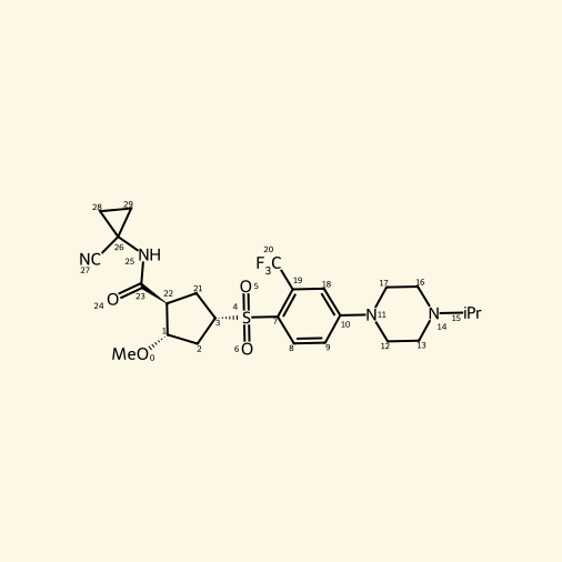 CO[C@H]1C[C@@H](S(=O)(=O)c2ccc(N3CCN(C(C)C)CC3)cc2C(F)(F)F)C[C@@H]1C(=O)NC1(C#N)CC1